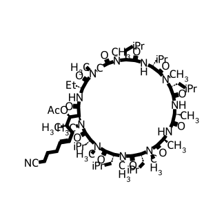 CC[C@H]1NC(=O)[C@H]([C@H](OC(C)=O)[C@H](C)C/C=C/CCCC#N)N(C)C(=O)[C@@H](C(C)C)N(C)C(=O)[C@@H](CC(C)C)N(C)C(=O)[C@@H](CC(C)C)N(C)C(=O)[C@H](C)NC(=O)[C@@H](C)NC(=O)[C@@H](CC(C)C)N(C)C(=O)[C@@H](C(C)C)NC(=O)[C@H](CC(C)C)N(C)C(=O)CN(C)C1=O